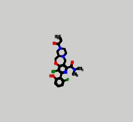 C=CC(=O)N1CCN2Cc3c(C(=O)N(C)C)nc(-c4c(O)cccc4F)c(Cl)c3OCC2C1